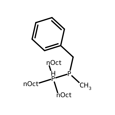 CCCCCCCC[PH](CCCCCCCC)(CCCCCCCC)P(C)Cc1ccccc1